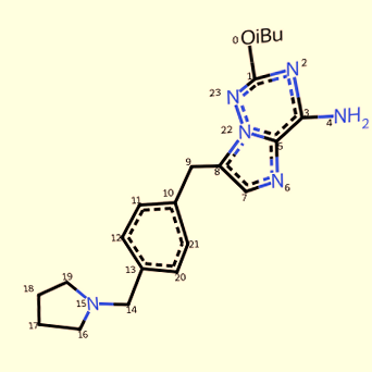 CC(C)COc1nc(N)c2ncc(Cc3ccc(CN4CCCC4)cc3)n2n1